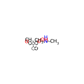 CCCCNCC(O)COc1ccc(C(c2ccc(OC)cc2)C2CCCc3ccccc32)cc1C